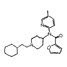 Cc1ccc(N(C(=O)c2ccco2)C2CCN(CCC3[CH]CCCC3)CC2)nc1